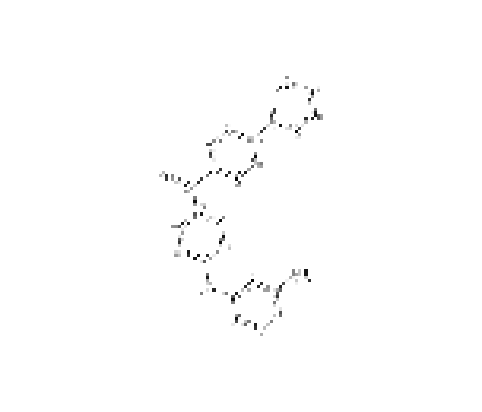 Nc1cccc(Oc2ccc(C(=O)c3ccc(-c4ccccc4)cc3)cc2)c1